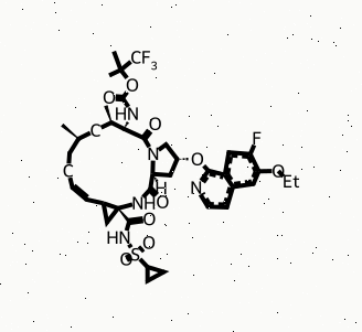 CCOc1cc2ccnc(O[C@@H]3C[C@H]4C(=O)N[C@]5(C(=O)NS(=O)(=O)C6CC6)CC5/C=C\CC[C@@H](C)C[C@@H](C)[C@H](NC(=O)OC(C)(C)C(F)(F)F)C(=O)N4C3)c2cc1F